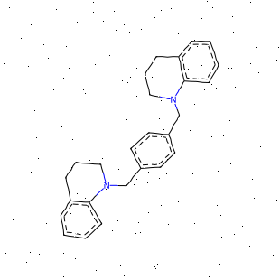 c1ccc2c(c1)CCCN2Cc1ccc(CN2CCCc3ccccc32)cc1